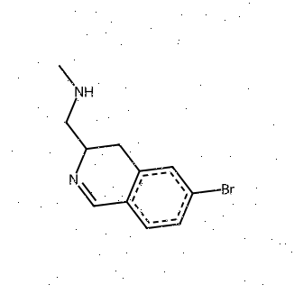 CNCC1Cc2cc(Br)ccc2C=N1